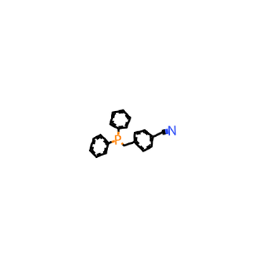 N#Cc1ccc(CP(c2ccccc2)c2ccccc2)cc1